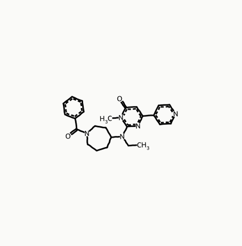 CCN(c1nc(-c2ccncc2)cc(=O)n1C)C1CCCN(C(=O)c2ccccc2)CC1